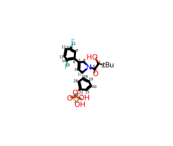 CC(C)(C)[C@H](O)C(=O)N1CC(c2cc(F)ccc2F)=C[C@H]1c1cccc(OP(=O)(O)O)c1